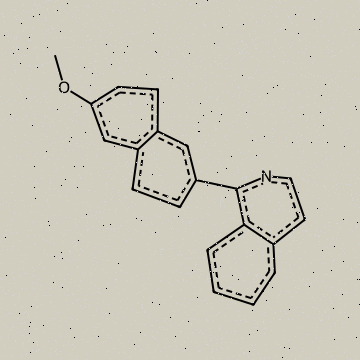 COc1ccc2cc(-c3nccc4ccccc34)ccc2c1